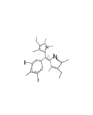 CCC1=C(C)/C(=C(\c2cc(I)c(C)c(I)c2)c2c(C)c(CC)c(C)n2C)N=C1C